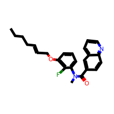 CCCCC=CCOc1cccc(N(C)C(=O)c2ccc3ncccc3c2)c1F